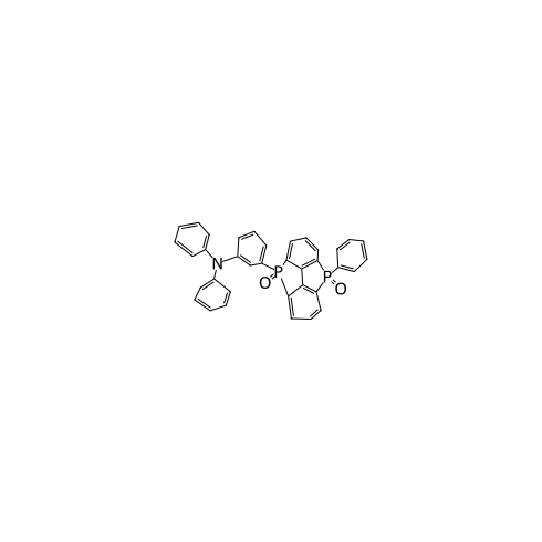 O=P1(c2ccccc2)c2cccc3c2-c2c1cccc2P3(=O)c1cccc(N(c2ccccc2)c2ccccc2)c1